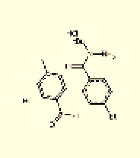 CCc1ccc(C(=O)N(N)C(C)(C)C)cc1.Cc1ccc(C(=O)Cl)cc1.Cl.Cl